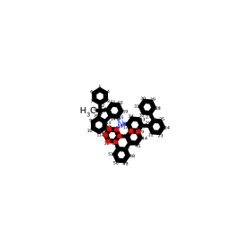 CC1(c2ccccc2)c2ccccc2-c2c(N(c3ccc(-c4ccccc4-c4ccccc4)cc3)c3ccccc3-c3ccccc3-c3ccccc3-c3ccccc3)cccc21